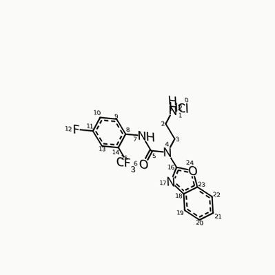 Cl.NCCN(C(=O)Nc1ccc(F)cc1C(F)(F)F)c1nc2ccccc2o1